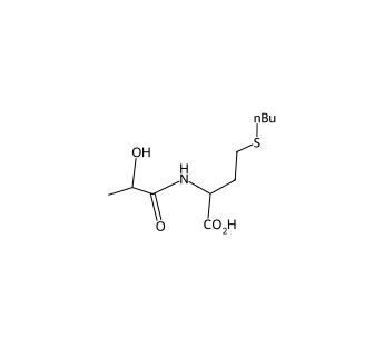 CCCCSCCC(NC(=O)C(C)O)C(=O)O